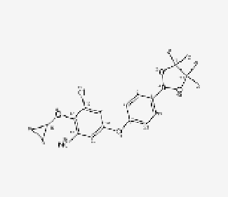 CC1(C)OB(c2ccc(Oc3cc(Cl)c(OC4CC4)c(C#N)c3)cc2)OC1(C)C